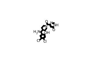 N[C@@H](c1cc(Cl)c(Cl)cc1O)C1CCN(C(=O)c2cc(=O)[nH]cn2)CC1